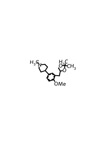 COc1ccc(C2CCN(C)CC2)cc1CC1COC(C)(C)O1